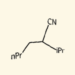 CCCCC(C#N)C(C)C